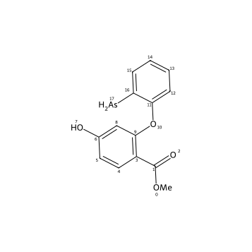 COC(=O)c1ccc(O)cc1Oc1ccccc1[AsH2]